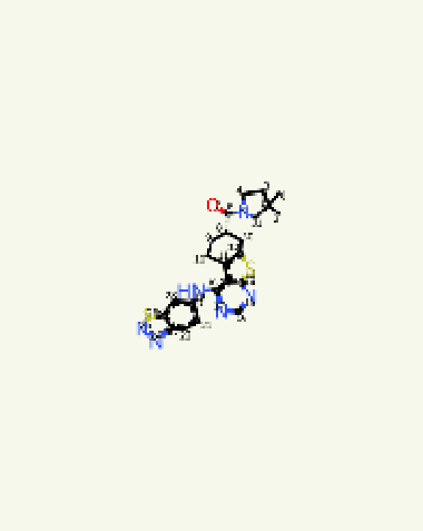 CC1(C)CCN(C(=O)[C@H]2CCc3c(sc4ncnc(Nc5ccc6nnsc6c5)c34)C2)C1